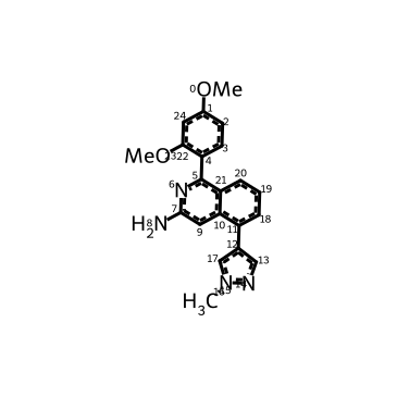 COc1ccc(-c2nc(N)cc3c(-c4cnn(C)c4)cccc23)c(OC)c1